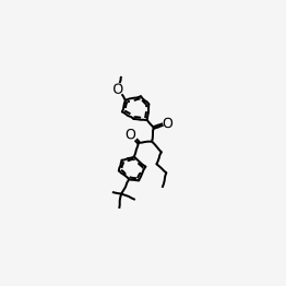 CCCCC(C(=O)c1ccc(OC)cc1)C(=O)c1ccc(C(C)(C)C)cc1